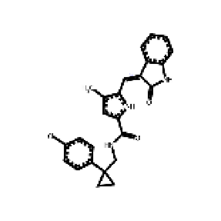 Cc1cc(C(=O)NCC2(c3ccc(Cl)cc3)CC2)[nH]c1/C=C1\C(=O)Nc2ccccc21